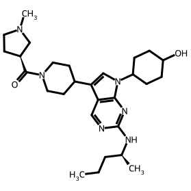 CCC[C@H](C)Nc1ncc2c(C3CCN(C(=O)[C@H]4CCN(C)C4)CC3)cn(C3CCC(O)CC3)c2n1